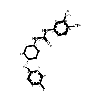 Cc1ccc(O[C@H]2CC[C@H](NC(=O)Nc3ccc(Cl)c(C(F)(F)F)c3)CC2)nc1